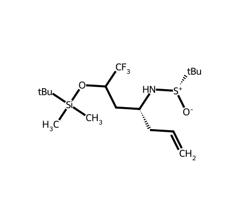 C=CC[C@H](CC(O[Si](C)(C)C(C)(C)C)C(F)(F)F)N[S@@+]([O-])C(C)(C)C